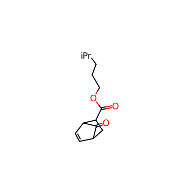 CC(C)CCCOC(=O)C1CC2C=CC1C2=O